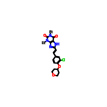 CCn1c(=O)c2[nH]c(C=Cc3ccc(OC4CCOCC4)c(Cl)c3)nc2n(CC)c1=O